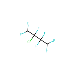 FC(F)C(F)(F)C(F)(Cl)C(F)F